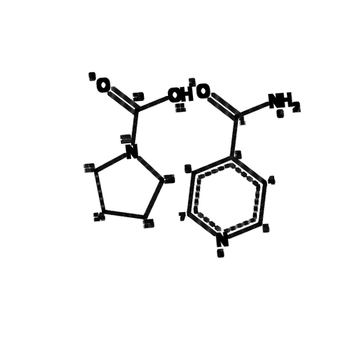 NC(=O)c1ccncc1.O=C(O)N1CCCC1